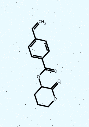 C=Cc1ccc(C(=O)OC2CCCOC2=O)cc1